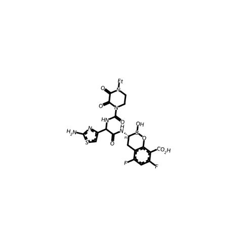 CCN1CCN(C(=O)NC(C(=O)N[C@H]2Cc3c(F)cc(F)c(C(=O)O)c3OB2O)c2csc(N)n2)C(=O)C1=O